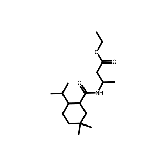 CCOC(=O)CC(C)NC(=O)C1CC(C)(C)CCC1C(C)C